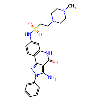 CN1CCN(CCS(=O)(=O)Nc2ccc3c(c2)[nH]c(=O)c2c(N)n(-c4ccccc4)nc23)CC1